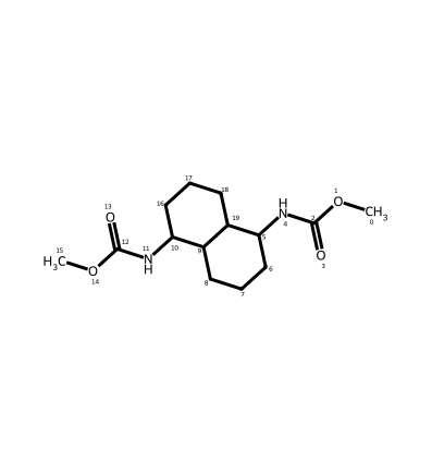 COC(=O)NC1CCCC2C(NC(=O)OC)CCCC12